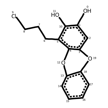 Oc1cc2c(c(CCCCl)c1O)Oc1ccccc1O2